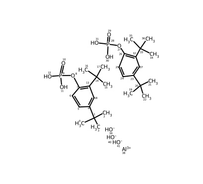 CC(C)(C)c1ccc(OP(=O)(O)O)c(C(C)(C)C)c1.CC(C)(C)c1ccc(OP(=O)(O)O)c(C(C)(C)C)c1.[Al+3].[OH-].[OH-].[OH-]